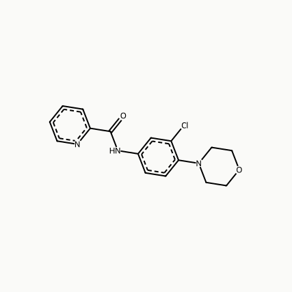 O=C(Nc1ccc(N2CCOCC2)c(Cl)c1)c1ccccn1